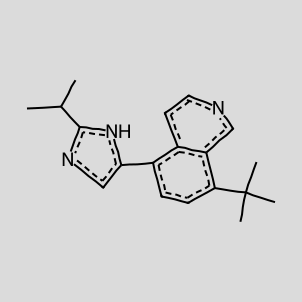 CC(C)c1ncc(-c2ccc(C(C)(C)C)c3cnccc23)[nH]1